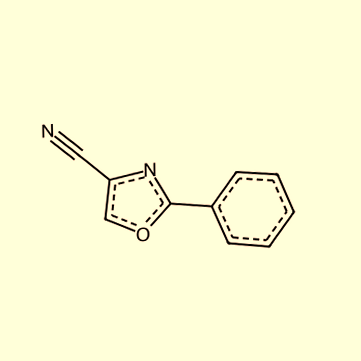 N#Cc1coc(-c2ccccc2)n1